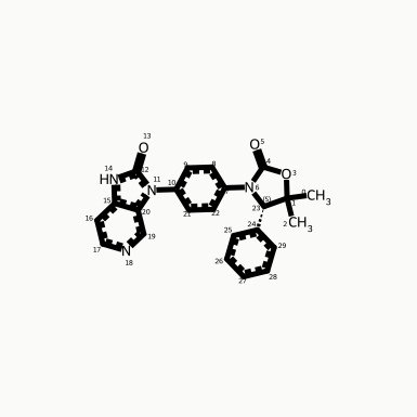 CC1(C)OC(=O)N(c2ccc(-n3c(=O)[nH]c4ccncc43)cc2)[C@H]1c1ccccc1